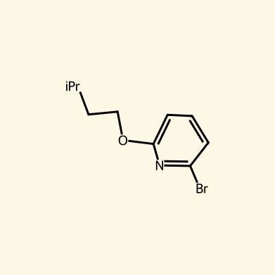 CC(C)CCOc1cccc(Br)n1